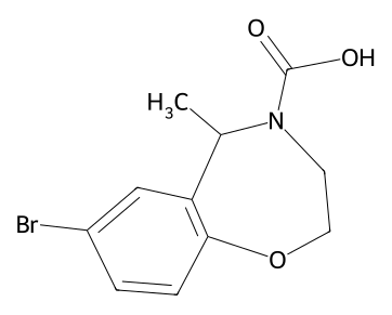 CC1c2cc(Br)ccc2OCCN1C(=O)O